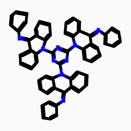 c1ccc(N=c2c3ccccc3n(-c3nc(-n4c5ccccc5c(=Nc5ccccc5)c5ccccc54)nc(-n4c5ccccc5c(=Nc5ccccc5)c5ccccc54)n3)c3ccccc23)cc1